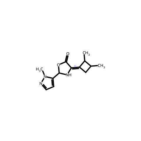 CC1C/C(=C2\NC(c3ccnn3C)OC2=O)C1C